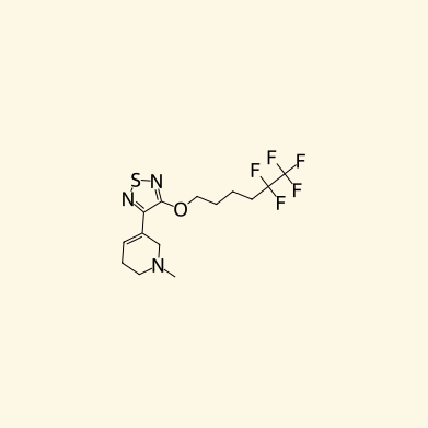 CN1CCC=C(c2nsnc2OCCCCC(F)(F)C(F)(F)F)C1